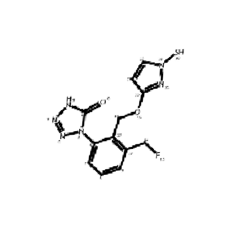 O=c1[nH]nnn1-c1cccc(CF)c1COc1ccn(S)n1